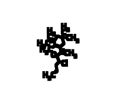 C=CCC(Cl)C(=O)N(C)C1=C(C)C(C)(C)CC(C)(C)C1